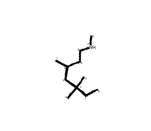 CCC(C)(C)CC(C)CCNC